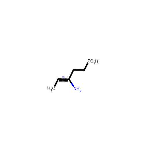 C/C=C(\N)CCC(=O)O